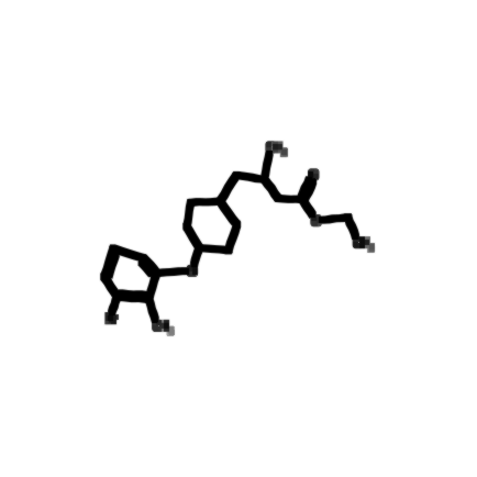 CCOC(=O)CC(C)CC1CCC(Oc2cccc(Br)c2C)CC1